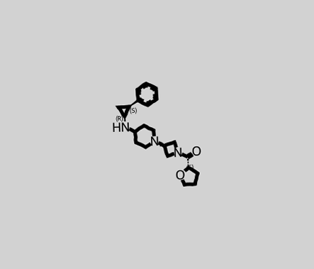 O=C([C@@H]1CCCO1)N1C[C](N2CCC(N[C@@H]3C[C@H]3c3ccccc3)CC2)C1